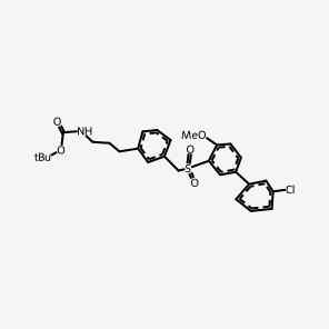 COc1ccc(-c2cccc(Cl)c2)cc1S(=O)(=O)Cc1cccc(CCCNC(=O)OC(C)(C)C)c1